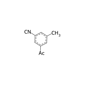 [C-]#[N+]c1cc(C)cc(C(C)=O)c1